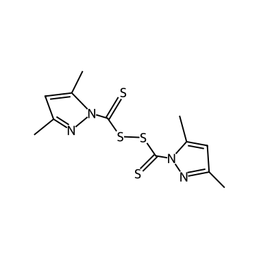 Cc1cc(C)n(C(=S)SSC(=S)n2nc(C)cc2C)n1